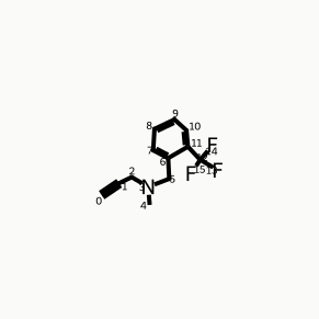 C#CCN(C)Cc1ccccc1C(F)(F)F